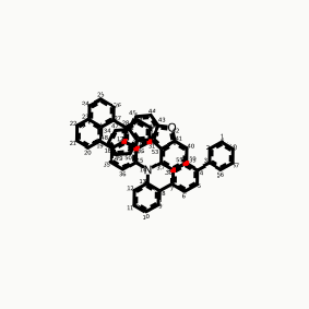 c1ccc(-c2ccc(-c3ccccc3N(c3ccc(-c4cccc5cccc(-c6ccccc6)c45)cc3)c3cccc4oc5ccc6ccccc6c5c34)cc2)cc1